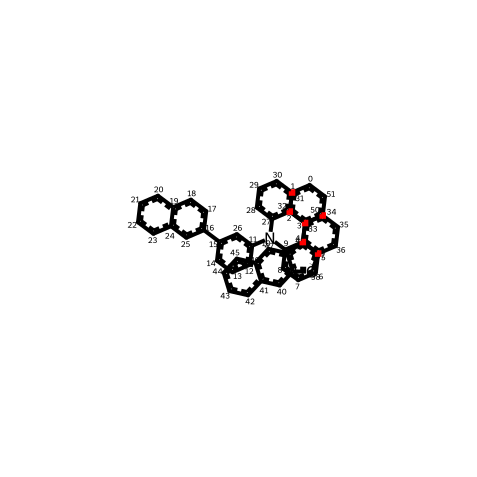 c1ccc(-c2ccccc2N(c2cccc(-c3ccc4ccccc4c3)c2)c2ccccc2-c2cccc3oc4cc5ccccc5cc4c23)cc1